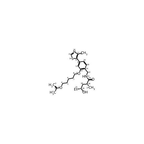 C=C(C)OCCCCCOc1cc(-c2scnc2C)ccc1CNC(=O)[C@@H](C)C[C@@H](O)CC